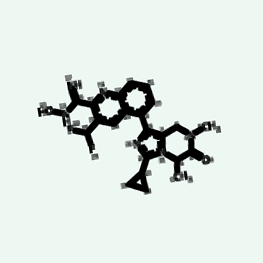 CC1C(=O)N(C)Cc2c(-c3cccc4nc(C(=N)NO)c(C(F)F)cc34)nc(C3CC3)n21